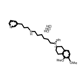 CCCN(CCCCCCNCCCc1cccnc1)[C@H]1CCc2c(ccc(OC)c2OC)C1.Cl.Cl.Cl